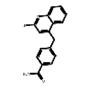 CCc1cc(Cc2ccc(C(N)=O)cc2)c2ccccc2n1